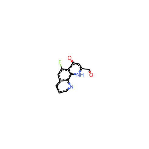 O=Cc1cc(=O)c2c(F)cc3cccnc3c2[nH]1